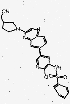 O=S(=O)(Nc1cc(-c2ccc3ncc(N4CCC(CO)C4)nc3c2)cnc1Cl)c1ccccc1